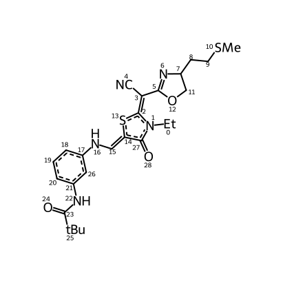 CCn1c(=C(C#N)C2=NC(CCSC)CO2)sc(=CNc2cccc(NC(=O)C(C)(C)C)c2)c1=O